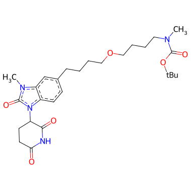 CN(CCCCOCCCCc1ccc2c(c1)n(C)c(=O)n2C1CCC(=O)NC1=O)C(=O)OC(C)(C)C